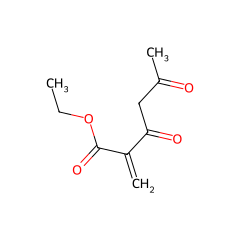 C=C(C(=O)CC(C)=O)C(=O)OCC